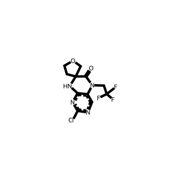 O=C1N(CC(F)(F)F)c2cnc(Cl)nc2NC12CCOC2